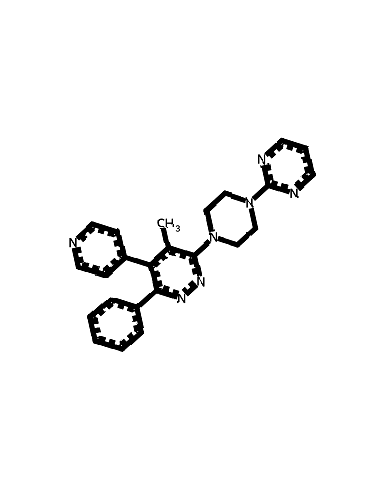 Cc1c(N2CCN(c3ncccn3)CC2)nnc(-c2ccccc2)c1-c1ccncc1